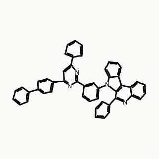 c1ccc(-c2ccc(-c3cc(-c4ccccc4)nc(-c4cccc(-n5c6ccccc6c6c7ccccc7nc(-c7ccccc7)c65)c4)n3)cc2)cc1